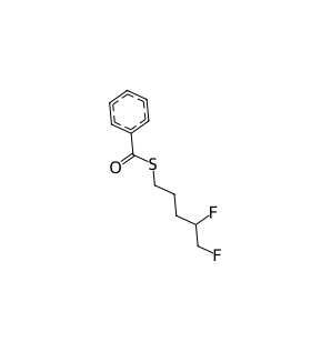 O=C(SCCCC(F)CF)c1ccccc1